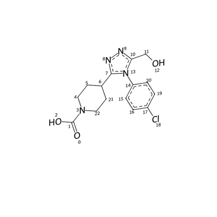 O=C(O)N1CCC(c2nnc(CO)n2-c2ccc(Cl)cc2)CC1